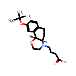 CC(C)(C)Oc1ccc2c(c1)[C@H]1OCCN(CCCC(=O)O)[C@@H]1CC2